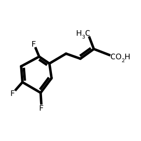 CC(=CCc1cc(F)c(F)cc1F)C(=O)O